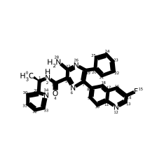 C[C@@H](NC(=O)c1nc(-c2ccc3ncc(F)cc3c2)c(-c2ccccc2)nc1N)c1ccccn1